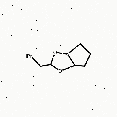 CC(C)CC1OC2CCCC2O1